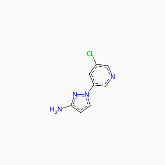 Nc1ccn(-c2cncc(Cl)c2)n1